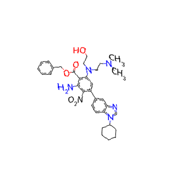 CN(C)CCN(CCO)c1cc(-c2ccc3c(c2)ncn3C2CCCCC2)c([N+](=O)[O-])c(N)c1C(=O)OCc1ccccc1